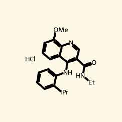 CCNC(=O)c1cnc2c(OC)cccc2c1Nc1ccccc1C(C)C.Cl